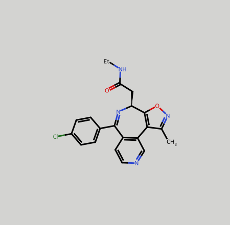 CCNC(=O)C[C@@H]1N=C(c2ccc(Cl)cc2)c2ccncc2-c2c(C)noc21